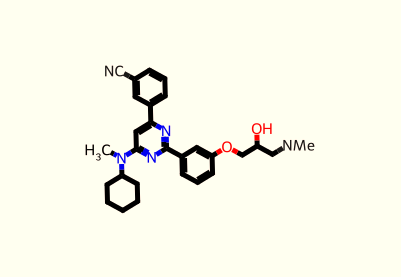 CNCC(O)COc1cccc(-c2nc(-c3cccc(C#N)c3)cc(N(C)C3CCCCC3)n2)c1